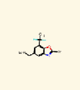 CNCc1cc(C(C)(F)F)c2oc(C(C)C)nc2c1